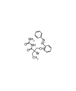 CCC(Br)(CC)C(=O)NC(N)=O.c1ccc(/N=N/c2ccccc2)cc1